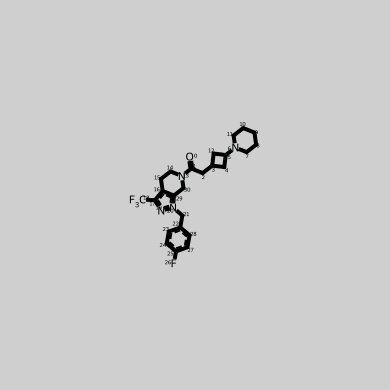 O=C(CC1CC(N2CCCCC2)C1)N1CCc2c(C(F)(F)F)nn(Cc3ccc(F)cc3)c2C1